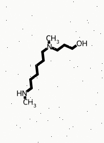 CNCCCCCCN(C)CCCO